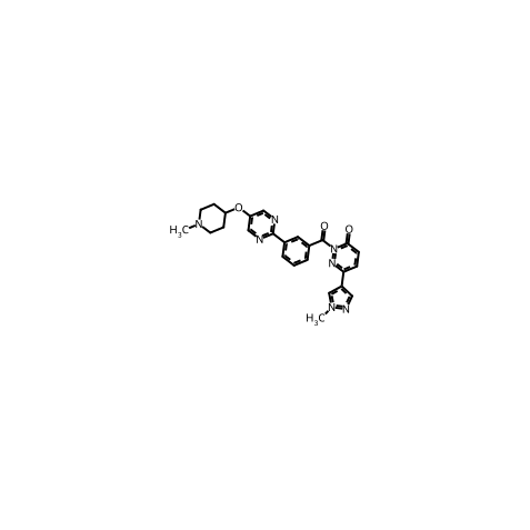 CN1CCC(Oc2cnc(-c3cccc(C(=O)n4nc(-c5cnn(C)c5)ccc4=O)c3)nc2)CC1